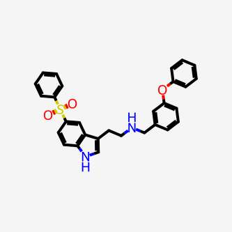 O=S(=O)(c1ccccc1)c1ccc2[nH]cc(CCNCc3cccc(Oc4ccccc4)c3)c2c1